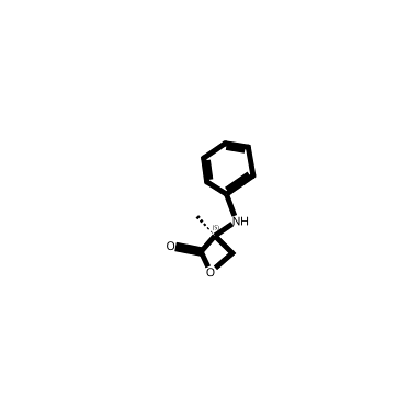 C[C@]1(Nc2ccccc2)COC1=O